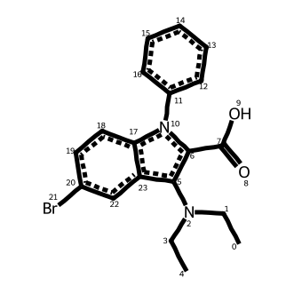 CCN(CC)c1c(C(=O)O)n(-c2ccccc2)c2ccc(Br)cc12